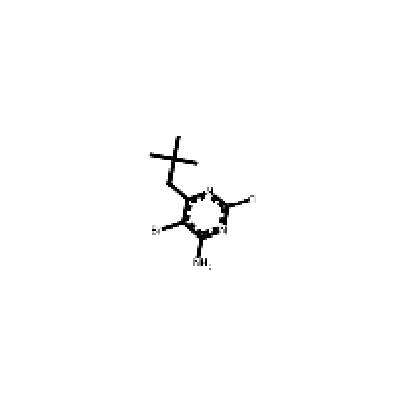 CC(C)(C)Cc1nc(Cl)nc(N)c1Br